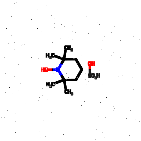 CC1(C)CCCC(C)(C)N1O.O=S(=O)(O)O